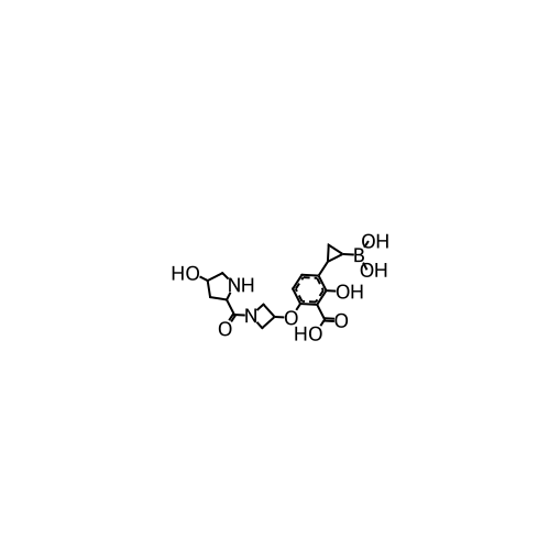 O=C(O)c1c(OC2CN(C(=O)C3CC(O)CN3)C2)ccc(C2CC2B(O)O)c1O